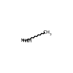 CCCCCCCCCCCN[N+]#N